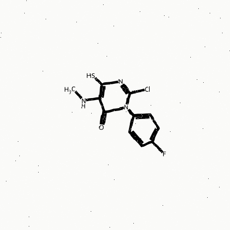 CNc1c(S)nc(Cl)n(-c2ccc(F)cc2)c1=O